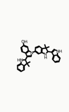 CC1(C)c2ccc(-n3cc(C4Nc5ccccc5C4(C)C)c4ccc(O)cc43)cc2NC1c1c[nH]c2ccccc12